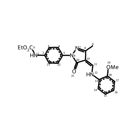 CCOC(=O)Nc1ccc(N2N=C(C)C(=CNc3ccccc3OC)C2=O)cc1